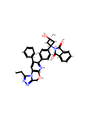 CCc1nnc2n1-c1cc(-c3ccccc3)c(-c3ccc([C@]4(N5C(=O)c6ccccc6C5=O)C[C@@](C)(O)C4)cc3)nc1OC2